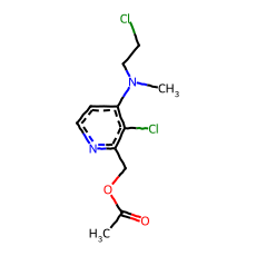 CC(=O)OCc1nccc(N(C)CCCl)c1Cl